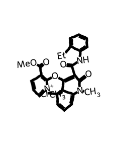 CCc1ccccc1NC(=O)c1c(Oc2c(C(=O)OC)ccc[n+]2C)c2c(Cl)cccc2n(C)c1=O